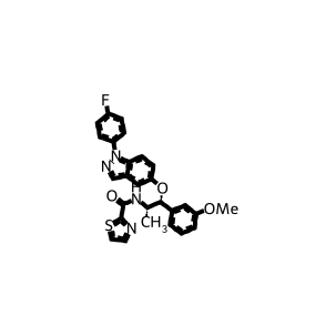 COc1cccc([C@@H](Oc2ccc3c(cnn3-c3ccc(F)cc3)c2)[C@H](C)NC(=O)c2nccs2)c1